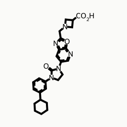 O=C(O)C1CN(Cc2nc3cc(N4CCN(c5cccc(C6CCCCC6)c5)C4=O)cnc3o2)C1